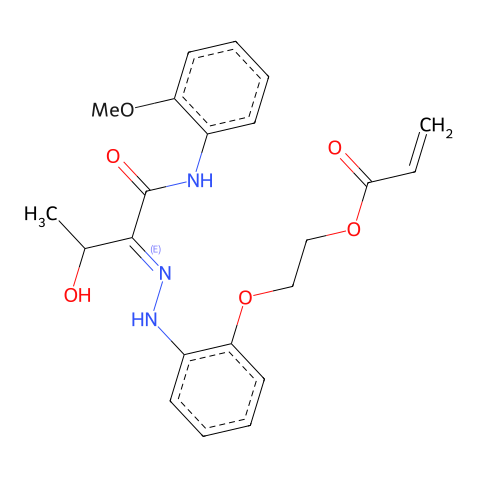 C=CC(=O)OCCOc1ccccc1N/N=C(/C(=O)Nc1ccccc1OC)C(C)O